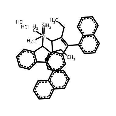 CCC1=C(c2cccc3ccccc23)c2ccccc2[CH]1[Zr]([CH3])([CH3])(=[SiH2])[CH]1C(CC)=C(c2cccc3ccccc23)c2ccccc21.Cl.Cl